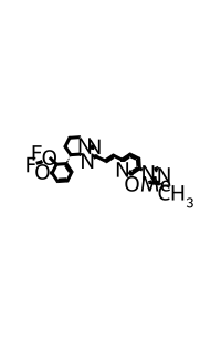 COc1nc(/C=C/c2nc3n(n2)CCC[C@H]3C2=CC=CC3OC(F)(F)OC23)ccc1-n1cnc(C)c1